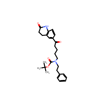 CC(C)(C)OC(=O)N(CCCCC(=O)c1ccc2c(c1)CCC(=O)N2)CCc1ccccc1